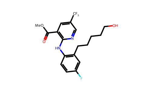 COC(=O)c1cc(C(F)(F)F)cnc1Nc1ccc(F)cc1CCCCCO